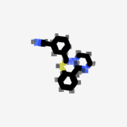 N#Cc1cccc(CSc2ccccc2C2=NCCCN2)c1